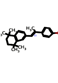 C/C(=C\c1ccc2c(c1)C(C)(C)CCC2(C)C)c1ccc(Br)cc1